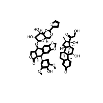 COc1cc([C@@H]2c3cc4c(cc3C(O[C@@H]3O[C@@H]5COC(c6cccs6)O[C@H]5[C@H](O)[C@H]3O)C3COC(=O)[C@@H]32)OCO4)cc(OC)c1O.C[C@@H]1C[C@H]2[C@@H]3CCC4=CC(=O)C=C[C@]4(C)[C@@]3(F)[C@@H](O)C[C@]2(C)[C@@]1(O)C(=O)CO